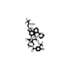 C[C@H]1Cn2c(c(C(=O)NCc3ccccc3-c3ncccn3)n(-c3ccc4nn(C[C@H](O)C(F)(F)F)cc4c3)c2=O)CN1C(=O)c1ccc(Br)c(C(F)(F)F)c1